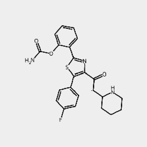 NC(=O)Oc1ccccc1-c1nc(C(=O)[CH]C2CCCCN2)c(-c2ccc(F)cc2)s1